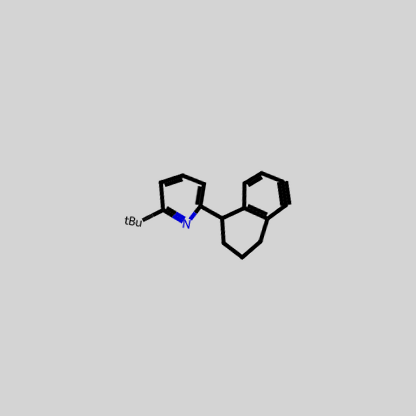 CC(C)(C)c1cccc(C2CCCc3c#cccc32)n1